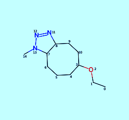 CCOC1CCCC2C(CC1)N=NN2C